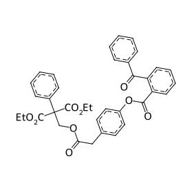 CCOC(=O)C(COC(=O)Cc1ccc(OC(=O)c2ccccc2C(=O)c2ccccc2)cc1)(C(=O)OCC)c1ccccc1